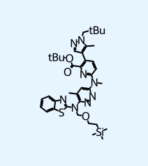 Cc1cc(N(C)c2ccc(-c3cnn(CC(C)(C)C)c3C)c(C(=O)OC(C)(C)C)n2)nnc1N(COCC[Si](C)(C)C)c1nc2ccccc2s1